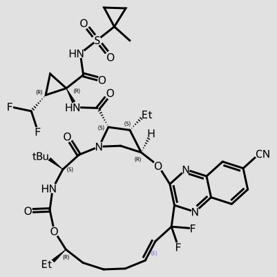 CC[C@@H]1CCC/C=C/C(F)(F)c2nc3ccc(C#N)cc3nc2O[C@H]2CN(C(=O)[C@H](C(C)(C)C)NC(=O)O1)[C@H](C(=O)N[C@]1(C(=O)NS(=O)(=O)C3(C)CC3)C[C@H]1C(F)F)[C@@H]2CC